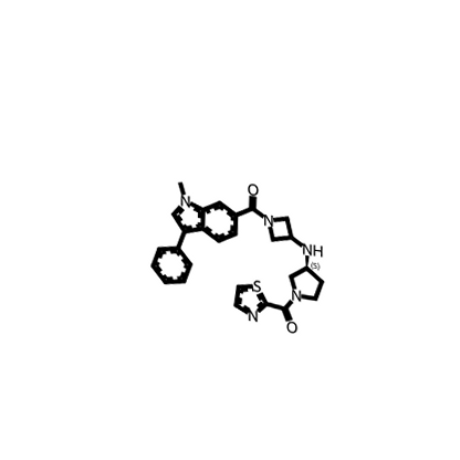 Cn1cc(-c2ccccc2)c2ccc(C(=O)N3CC(N[C@H]4CCN(C(=O)c5nccs5)C4)C3)cc21